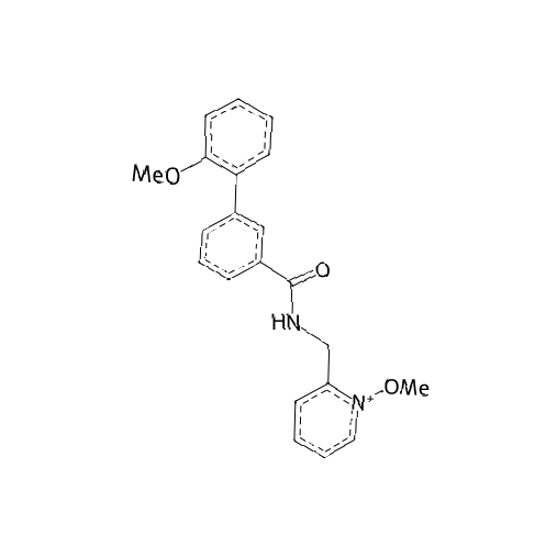 COc1ccccc1-c1cccc(C(=O)NCc2cccc[n+]2OC)c1